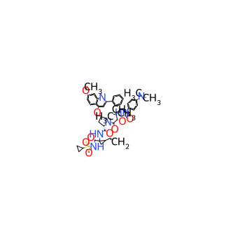 C=CC1CC1(NC(=O)[C@@H]1CC(Oc2cc(-c3ccccc3)nc3cc(OC)ccc23)CN1C(=O)[C@@H](OC(=O)Nc1ccc(N(C)C)cc1)C(C)(C)C)C(=O)NS(=O)(=O)C1CC1